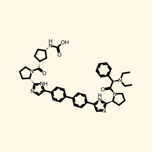 CCN(CC)[C@@H](C(=O)N1CCC[C@H]1c1ncc(-c2ccc(-c3ccc(-c4cnc([C@@H]5CCCN5C(=O)[C@@H]5CC[C@H](NC(=O)O)C5)[nH]4)cc3)cc2)[nH]1)c1ccccc1